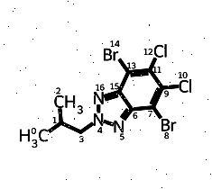 CC(C)Cn1nc2c(Br)c(Cl)c(Cl)c(Br)c2n1